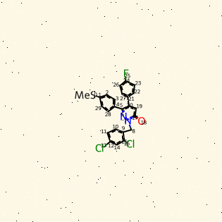 CSc1ccc(-c2nn(Cc3ccc(Cl)cc3Cl)c(=O)cc2-c2ccc(F)cc2)cc1